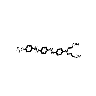 OCCCN(CCO)c1ccc(N=Nc2ccc(N=Nc3ccc(C(F)(F)F)cc3)cc2)cc1